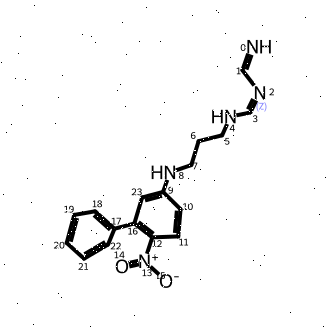 N=C/N=C\NCCCNc1ccc([N+](=O)[O-])c(-c2ccccc2)c1